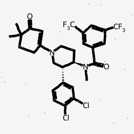 CN(C(=O)c1cc(C(F)(F)F)cc(C(F)(F)F)c1)[C@@H]1CCN(C2=CC(=O)C(C)(C)CC2)C[C@H]1c1ccc(Cl)c(Cl)c1